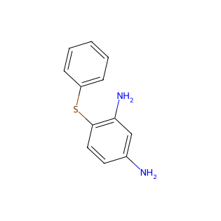 Nc1ccc(Sc2ccccc2)c(N)c1